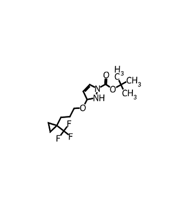 CC(C)(C)OC(=O)N1C=CC(OCCCC2(C(F)(F)F)CC2)N1